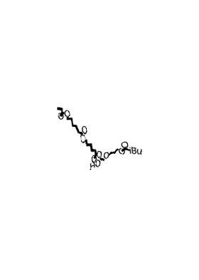 C=CC(=O)OCCCCCC(=O)OCCCCCC(=O)OC(O)COCCCCOC(=O)C(C)CC